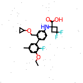 CCOc1cc(C)cc(-c2ccc(NC3(C(=O)O)CC(F)(F)C3)cc2COC2CC2)c1F